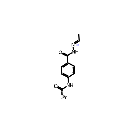 C/C=N/NC(=O)c1ccc(NC(=O)C(C)C)cc1